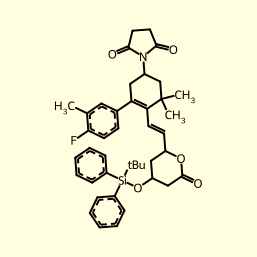 Cc1cc(C2=C(C=CC3CC(O[Si](c4ccccc4)(c4ccccc4)C(C)(C)C)CC(=O)O3)C(C)(C)CC(N3C(=O)CCC3=O)C2)ccc1F